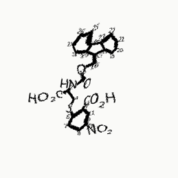 O=C(NC(CSc1ccc([N+](=O)[O-])cc1C(=O)O)C(=O)O)OCC1c2ccccc2-c2ccccc21